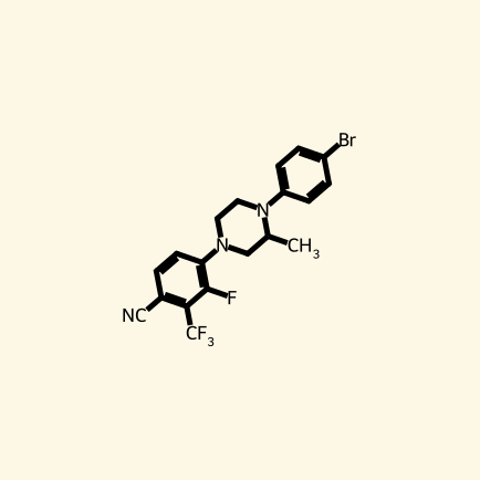 CC1CN(c2ccc(C#N)c(C(F)(F)F)c2F)CCN1c1ccc(Br)cc1